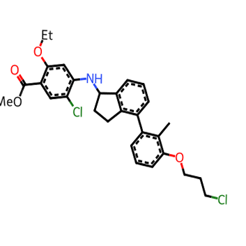 CCOc1cc(NC2CCc3c(-c4cccc(OCCCCl)c4C)cccc32)c(Cl)cc1C(=O)OC